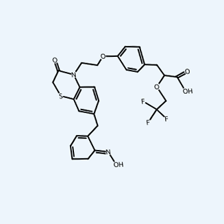 O=C(O)C(Cc1ccc(OCCN2C(=O)CSc3cc(CC4=CC=CCC4=NO)ccc32)cc1)OCC(F)(F)F